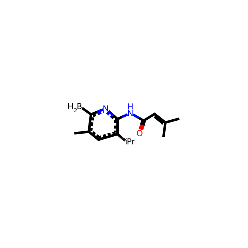 Bc1nc(NC(=O)C=C(C)C)c(C(C)C)cc1C